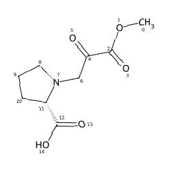 COC(=O)C(=O)CN1CCC[C@H]1C(=O)O